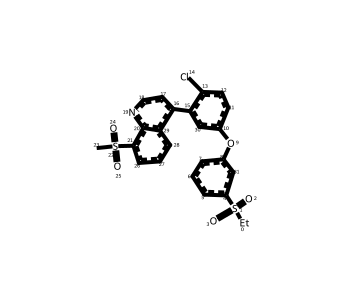 CCS(=O)(=O)c1cccc(Oc2ccc(Cl)c(-c3ccnc4c(S(C)(=O)=O)cccc34)c2)c1